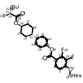 CCCCCCOc1ccc(C(=O)Oc2ccc([C@H]3CC[C@H](OC(=O)[C@@H](F)[C@@H](C)CC)CC3)cc2)c(F)c1F